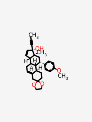 CC#C[C@]1(O)C=C[C@H]2[C@@H]3CC=C4CC5(CC[C@@H]4[C@H]3[C@@H](c3ccc(OC)cc3)C[C@@]21C)OCCO5